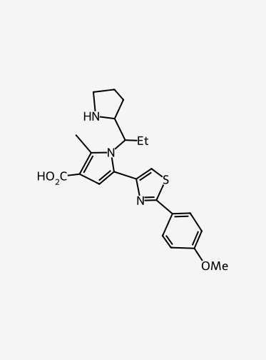 CCC(C1CCCN1)n1c(-c2csc(-c3ccc(OC)cc3)n2)cc(C(=O)O)c1C